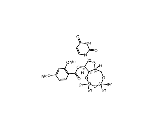 COc1ccc(C(=O)O[C@@H]2[C@@H]3O[Si](C(C)C)(C(C)C)O[Si](C(C)C)(C(C)C)OC[C@H]3S[C@H]2n2ccc(=O)[nH]c2=O)c(OC)c1